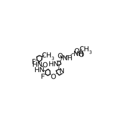 CC(=O)ONCCCNC(=O)c1c[nH]c(-c2cc(Oc3ccc(NC(=O)Nc4cc(C)ccc4F)c(F)c3)ccn2)c1